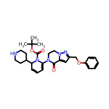 CC(C)(C)OC(=O)N1C(N2CCn3nc(COc4ccccc4)cc3C2=O)=CC=CC1C1CCNCC1